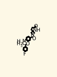 CC(Oc1cc(C(=O)N2CC3(CCC(=O)N3)C2)ccc1N)c1ccc(F)cc1